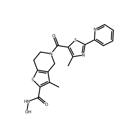 Cc1nc(-c2ccccn2)sc1C(=O)N1CCc2sc(C(=O)NO)c(C)c2C1